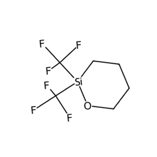 FC(F)(F)[Si]1(C(F)(F)F)CCCCO1